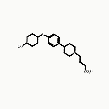 CC(C)(C)C1CCC(Oc2ccc(C3CCN(CCCC(=O)O)CC3)cc2)CC1